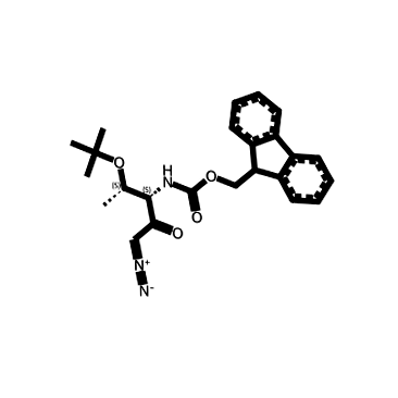 C[C@H](OC(C)(C)C)[C@H](NC(=O)OCC1c2ccccc2-c2ccccc21)C(=O)C=[N+]=[N-]